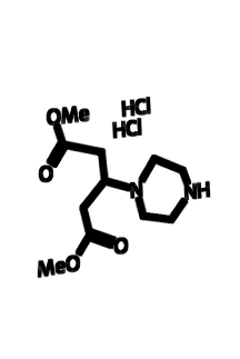 COC(=O)CC(CC(=O)OC)N1CCNCC1.Cl.Cl